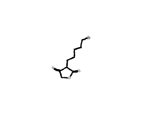 O=C1COC(=O)C1CCCCCBr